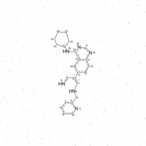 N=C/C(=C\NCc1ccccn1)c1ccc2ncnc(NC3CCCCC3)c2c1